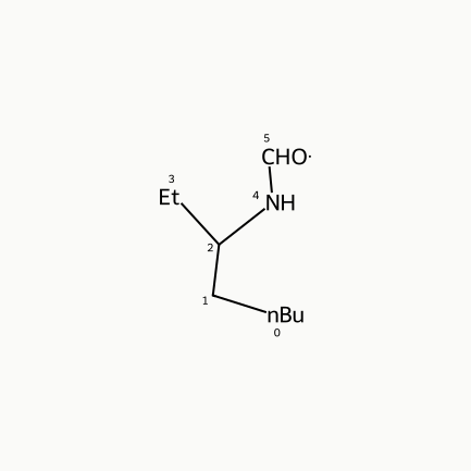 CCCCCC(CC)N[C]=O